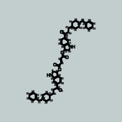 O=C(/C=C/C(=O)OC1CNc2cc(C(=O)CCC3CCN(Cc4ccccc4)CC3)ccc21)OC1CNc2cc(C(=O)CCC3CCN(Cc4ccccc4)CC3)ccc21